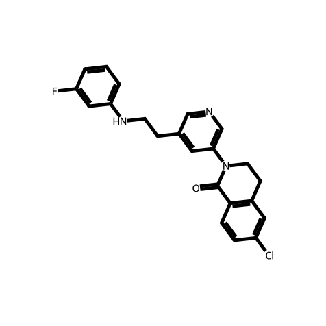 O=C1c2ccc(Cl)cc2CCN1c1cncc(CCNc2cccc(F)c2)c1